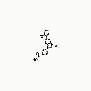 COc1ccccc1-c1ccc2c(c1)ncn2-c1ccc(CC(=O)O)cc1.[LiH]